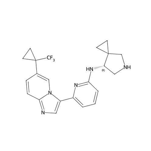 FC(F)(F)C1(c2ccc3ncc(-c4cccc(N[C@H]5CNCC56CC6)n4)n3c2)CC1